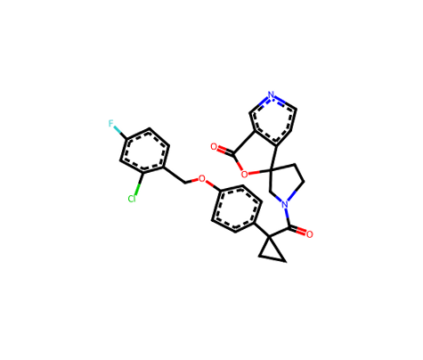 O=C1OC2(CCN(C(=O)C3(c4ccc(OCc5ccc(F)cc5Cl)cc4)CC3)C2)c2ccncc21